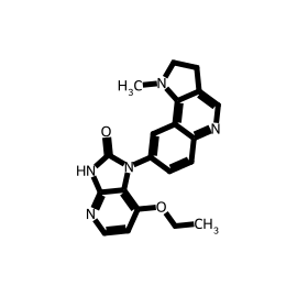 CCOc1ccnc2[nH]c(=O)n(-c3ccc4ncc5c(c4c3)N(C)CC5)c12